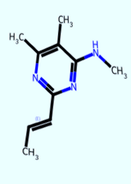 C/C=C/c1nc(C)c(C)c(NC)n1